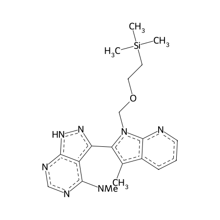 CNc1ncnc2[nH]nc(-c3c(C)c4cccnc4n3COCC[Si](C)(C)C)c12